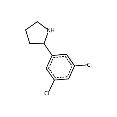 Clc1cc(Cl)cc(C2CCCN2)c1